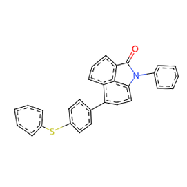 O=C1c2cccc3c(-c4ccc(Sc5ccccc5)cc4)ccc(c23)N1c1ccccc1